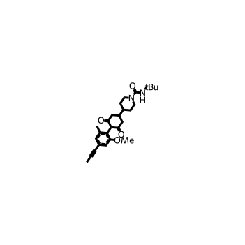 CC#Cc1cc(C)c(C2C(=O)CC(C3CCN(C(=O)NC(C)(C)C)CC3)CC2=O)c(OC)c1